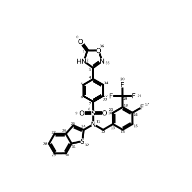 O=c1[nH]c(-c2ccc(S(=O)(=O)N(Cc3ccc(F)c(C(F)(F)F)c3)c3cc4ccccc4s3)cc2)no1